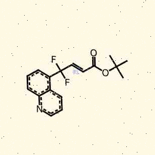 CC(C)(C)OC(=O)/C=C/C(F)(F)c1cccc2ncccc12